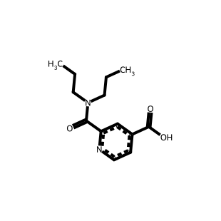 CCCN(CCC)C(=O)c1cc(C(=O)O)ccn1